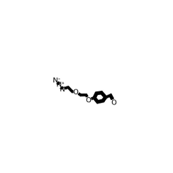 [N-]=[N+]=NCCOCCOc1ccc(C=O)cc1